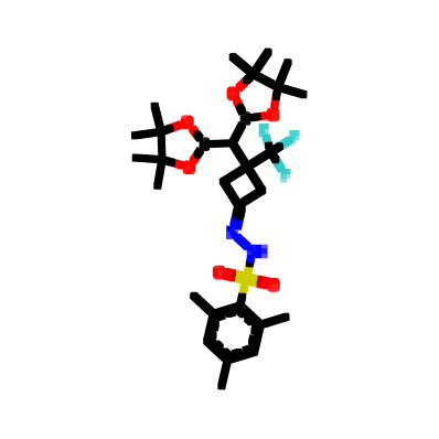 Cc1cc(C)c(S(=O)(=O)NN=C2CC(C(B3OC(C)(C)C(C)(C)O3)B3OC(C)(C)C(C)(C)O3)(C(F)(F)F)C2)c(C)c1